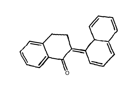 O=C1C(=C2C=CC=C3C=CC=CC32)CCc2ccccc21